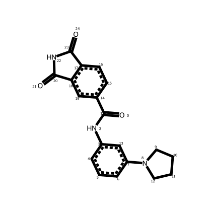 O=C(Nc1cccc(N2CCCC2)c1)c1ccc2c(c1)C(=O)NC2=O